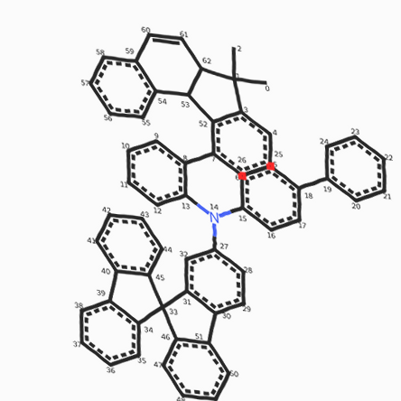 CC1(C)c2cccc(-c3ccccc3N(c3ccc(-c4ccccc4)cc3)c3ccc4c(c3)C3(c5ccccc5-c5ccccc53)c3ccccc3-4)c2C2c3ccccc3C=CC21